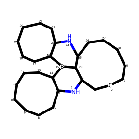 C1CCCC2NC3CCCCCCCC3B3C4CCCCCCC4NC(CCC1)C32